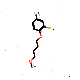 CCCOCCCCOc1ccc(C)cc1F